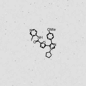 COc1ccc(-c2ncn(C3CCCC3)c2-c2ccc(C(=O)Nc3ccncc3F)o2)cc1